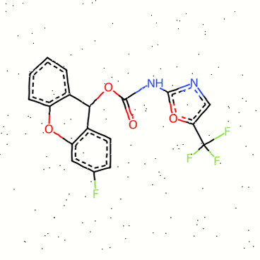 O=C(Nc1ncc(C(F)(F)F)o1)OC1c2ccccc2Oc2cc(F)ccc21